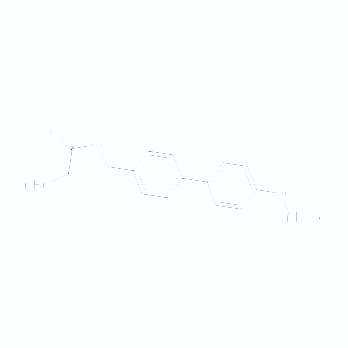 CCCCCCOc1ccc(-c2ccc(C3CC(CCCC)C(=O)O3)cc2)cc1